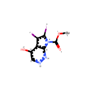 CC(C)(C)OC(=O)n1c(I)c(I)c2c(O)cnnc21